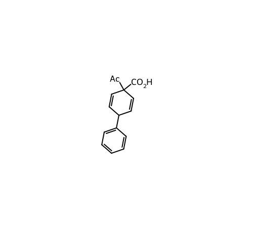 CC(=O)C1(C(=O)O)C=CC(c2ccccc2)C=C1